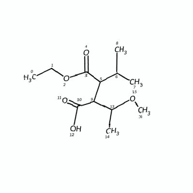 CCOC(=O)C(C(C)C)C(C(=O)O)C(C)OC